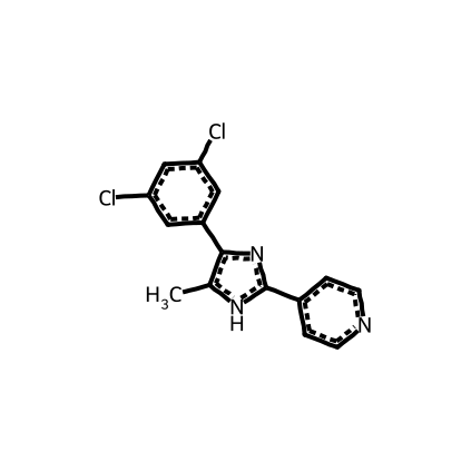 Cc1[nH]c(-c2ccncc2)nc1-c1cc(Cl)cc(Cl)c1